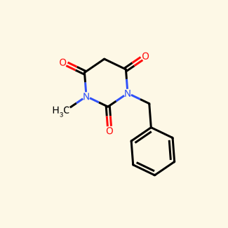 CN1C(=O)CC(=O)N(Cc2ccccc2)C1=O